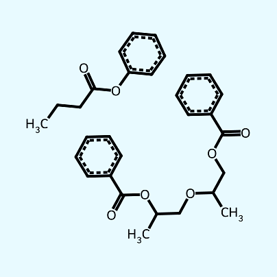 CC(COC(=O)c1ccccc1)OCC(C)OC(=O)c1ccccc1.CCCC(=O)Oc1ccccc1